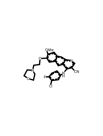 COc1cc2cc3ncc(C#N)c(Nc4ccc(F)c(Cl)c4)c3cc2cc1OCCN1CCOCC1